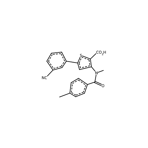 Cc1ccc(C(=O)N(C)c2cc(-c3cccc(C#N)c3)sc2C(=O)O)cc1